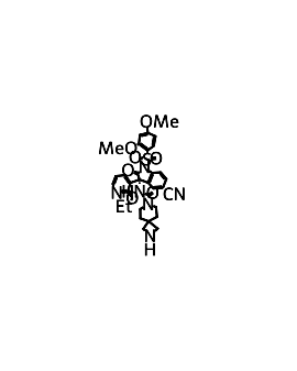 CCOc1ncccc1[C@@]1(NC(=O)N2CCC3(CC2)CNC3)C(=O)N(S(=O)(=O)c2ccc(OC)cc2OC)c2ccc(C#N)cc21